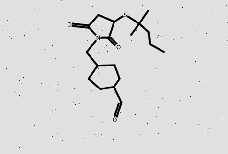 CCCC(C)(C)SC1CC(=O)N(CC2CCC(C=O)CC2)C1=O